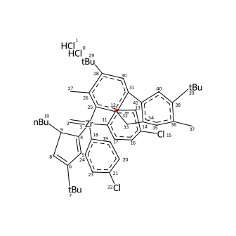 Cl.Cl.[CH2]=[Zr]([C]1=CC(C(C)(C)C)=CC1CCCC)([c]1ccc(Cl)cc1)([c]1ccc(Cl)cc1)[c]1c(C)c(C(C)(C)C)cc2c1Cc1cc(C)c(C(C)(C)C)cc1-2